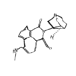 CNc1ccc2c3c(cccc13)C(=O)N([C@H]1CN3CCC1CC3)C2=O